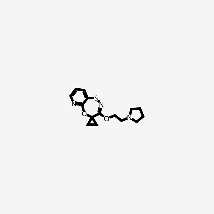 c1cnc2c(c1)SN=C(OCCN1CCCC1)C1(CC1)O2